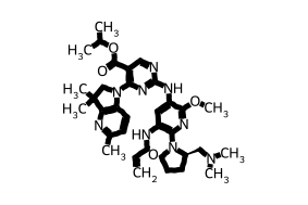 C=CC(=O)Nc1cc(Nc2ncc(C(=O)OC(C)C)c(N3CC(C)(C)c4nc(C)ccc43)n2)c(OC)nc1N1CCC[C@@H]1CN(C)C